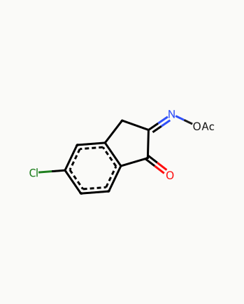 CC(=O)ON=C1Cc2cc(Cl)ccc2C1=O